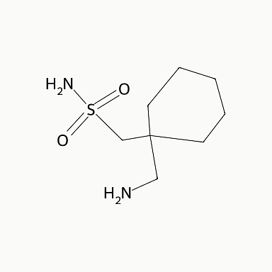 NCC1(CS(N)(=O)=O)CCCCC1